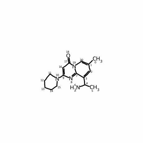 Cc1cc(C(C)N)c2nc(N3CCCCC3)cc(=O)n2c1